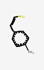 Cc1ccc(/C=C\S)cc1